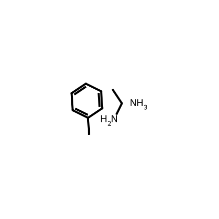 CCN.Cc1ccccc1.N